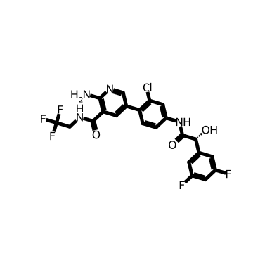 Nc1ncc(-c2ccc(NC(=O)[C@H](O)c3cc(F)cc(F)c3)cc2Cl)cc1C(=O)NCC(F)(F)F